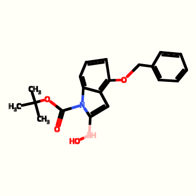 CC(C)(C)OC(=O)n1c(BO)cc2c(OCc3ccccc3)cccc21